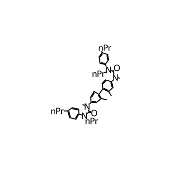 CCCc1ccc(N(CCC)C(=O)N(C)c2ccc(-c3ccc(N(C)C(=O)N(CCC)c4ccc(CCC)cc4)cc3C)c(C)c2)cc1